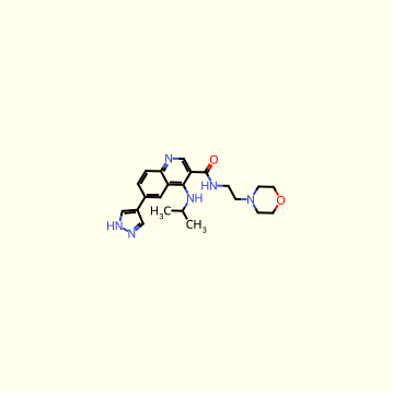 CC(C)Nc1c(C(=O)NCCN2CCOCC2)cnc2ccc(-c3cn[nH]c3)cc12